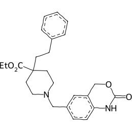 CCOC(=O)C1(CCc2ccccc2)CCN(Cc2ccc3c(c2)COC(=O)N3)CC1